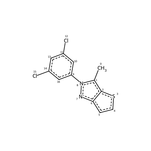 Cc1c2sccc2nn1-c1cc(Cl)cc(Cl)c1